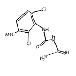 COc1ccc(Cl)c(NC(=O)NC(=N)N)c1Cl